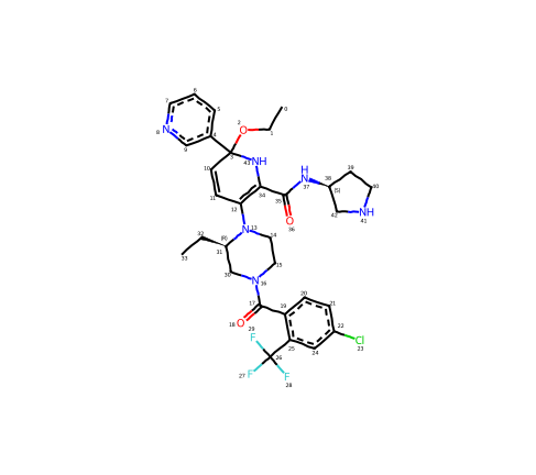 CCOC1(c2cccnc2)C=CC(N2CCN(C(=O)c3ccc(Cl)cc3C(F)(F)F)C[C@H]2CC)=C(C(=O)N[C@H]2CCNC2)N1